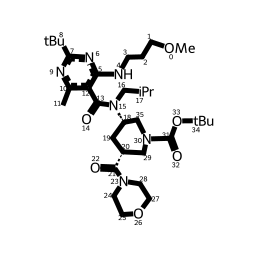 COCCCNc1nc(C(C)(C)C)nc(C)c1C(=O)N(CC(C)C)[C@H]1C[C@@H](C(=O)N2CCOCC2)CN(C(=O)OC(C)(C)C)C1